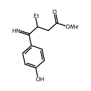 CCC(CC(=O)OC)C(=N)c1ccc(O)cc1